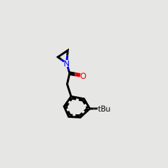 CC(C)(C)c1cccc(CC(=O)N2CC2)c1